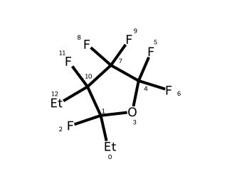 CCC1(F)OC(F)(F)C(F)(F)C1(F)CC